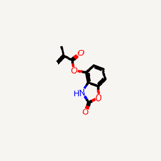 C=C(C)C(=O)Oc1cccc2oc(=O)[nH]c12